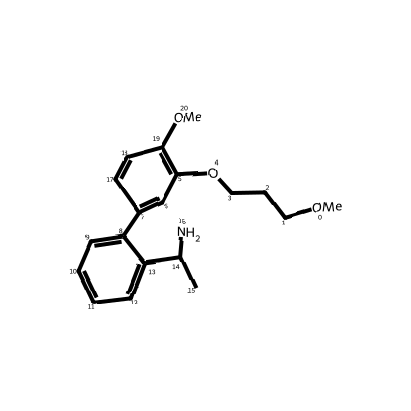 COCCCOc1cc(-c2ccccc2C(C)N)ccc1OC